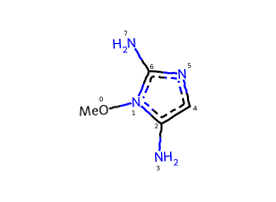 COn1c(N)cnc1N